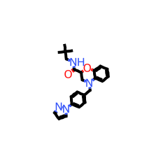 CC(C)(C)CNC(=O)C1CN(Cc2ccc(-n3cccn3)cc2)c2ccccc2O1